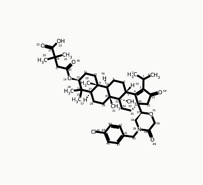 CC(C)C1=C2[C@H]3CC[C@@H]4[C@@]5(C)CC[C@H](OC(=O)CC(C)(C)C(=O)O)C(C)(C)[C@@H]5CC[C@@]4(C)[C@]3(C)CC[C@@]2([C@@H]2CN(Cc3ccc(Cl)cc3)C(=O)CO2)CC1=O